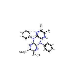 CCOC(=O)c1nc2c(nc1C(=O)OCC)N(c1ccccc1)c1nc(CC)c(CC)nc1N2c1ccccc1